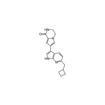 O=C1NCCn2cc(-c3c[nH]c4nc(CC5CCC5)ccc34)cc21